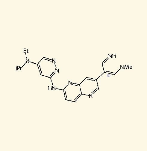 CCN(c1cnnc(Nc2ccc3ncc(/C(C=N)=C/NC)cc3n2)c1)C(C)C